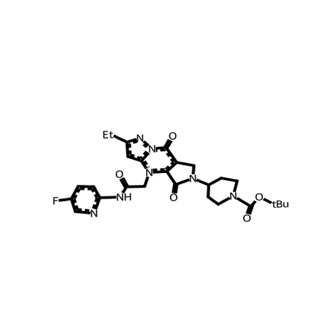 CCc1cc2n(CC(=O)Nc3ccc(F)cn3)c3c(c(=O)n2n1)CN(C1CCN(C(=O)OC(C)(C)C)CC1)C3=O